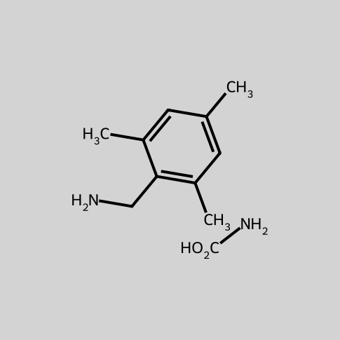 Cc1cc(C)c(CN)c(C)c1.NC(=O)O